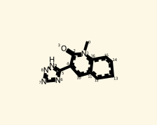 Cn1c(=O)c(-c2nnn[nH]2)cc2ccccc21